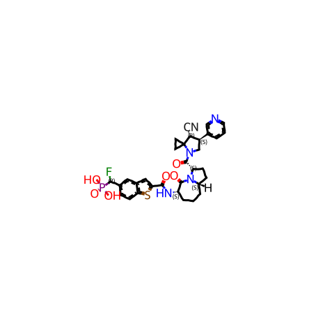 N#C[C@@H]1[C@@H](c2cccnc2)CN(C(=O)[C@@H]2CC[C@@H]3CCC[C@H](NC(=O)c4cc5cc([C@H](F)P(=O)(O)O)ccc5s4)C(=O)N32)C12CC2